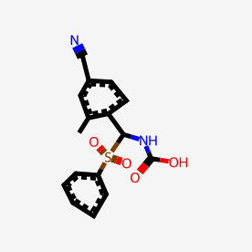 Cc1cc(C#N)ccc1C(NC(=O)O)S(=O)(=O)c1ccccc1